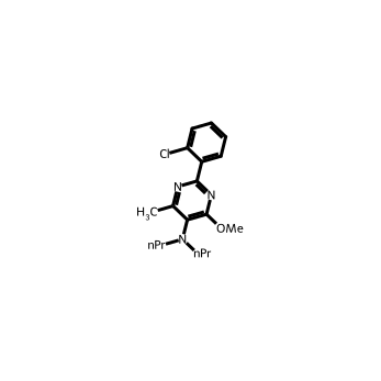 CCCN(CCC)c1c(C)nc(-c2ccccc2Cl)nc1OC